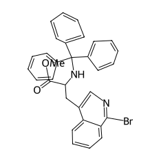 COC(=O)C(Cc1cnc(Br)c2ccccc12)NC(c1ccccc1)(c1ccccc1)c1ccccc1